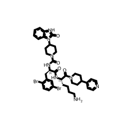 NCCCC[C@H](NC(=O)[C@@H](Cc1cc(Br)ccc1Br)NC(=O)N1CCC(n2c(=O)[nH]c3ccccc32)CC1)C(=O)N1CCC(c2ccncc2)CC1